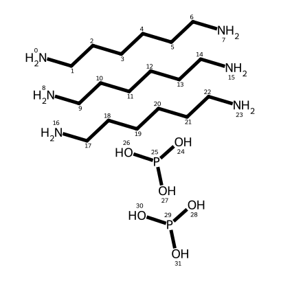 NCCCCCCN.NCCCCCCN.NCCCCCCN.OP(O)O.OP(O)O